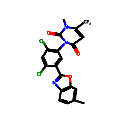 Cc1ccc2nc(-c3cc(-n4c(=O)cc(C(F)(F)F)n(C)c4=O)c(Cl)cc3Cl)oc2c1